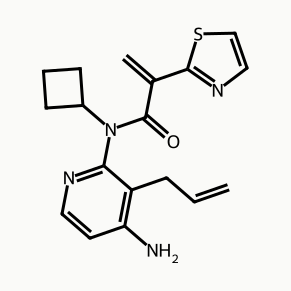 C=CCc1c(N)ccnc1N(C(=O)C(=C)c1nccs1)C1CCC1